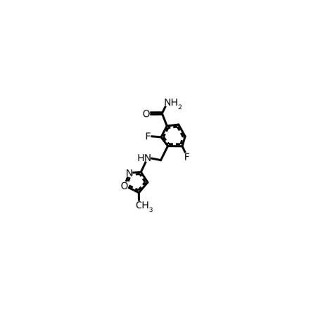 Cc1cc(NCc2c(F)ccc(C(N)=O)c2F)no1